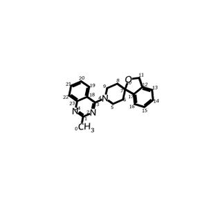 Cc1nc(N2CCC3(CC2)OCc2ccccc23)c2ccccc2n1